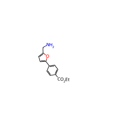 CCOC(=O)c1ccc(-c2ccc(CN)o2)cc1